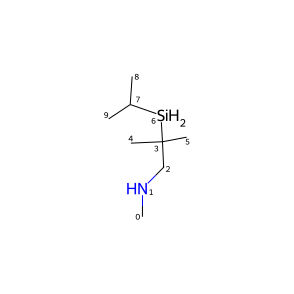 CNCC(C)(C)[SiH2]C(C)C